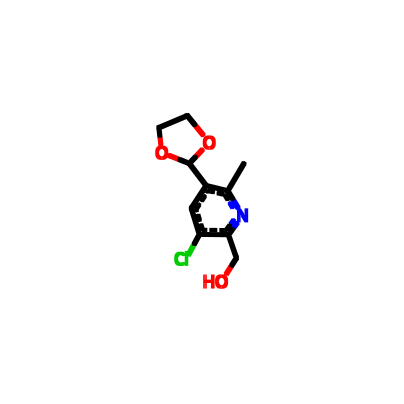 Cc1nc(CO)c(Cl)cc1C1OCCO1